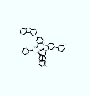 Cc1cccc(-c2ccc3c(c2)c2cc(-c4cccc(C)c4)ccc2n3-c2ccc(-c3ccc4sc5ccccc5c4c3)cc2-c2nc(-c3ccccc3)nc(-c3ccccc3)n2)c1